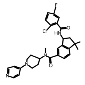 CN(C(=O)c1ccc2c(c1)C(NC(=O)c1cc(F)ccc1Cl)CC2(C)C)C1CCN(c2ccncc2)CC1